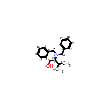 CC(C)[C@@H](CO)N(Cc1ccccc1)Cc1ccccc1